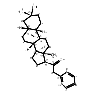 C[C@@]1(O)CC[C@H]2[C@H](CC[C@@H]3[C@@H]2CC[C@]2(C)[C@@H](C(=O)Cc4ncccn4)CC[C@@H]32)C1